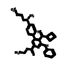 CCOC(=O)c1cc(-c2ccc(N(C)CCOC)nc2)c(C(=N)C2CCC2)c(Nc2ccccc2)n1